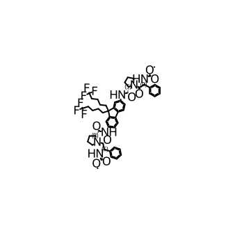 COC(=O)N[C@H](C(=O)N1CCC[C@@H]1C(=O)Nc1ccc2c(c1)C(CCCCC(F)(F)F)(CCCCC(F)(F)F)c1cc(NC(=O)[C@@H]3CCCN3C(=O)[C@H](NC(=O)OC)c3ccccc3)ccc1-2)c1ccccc1